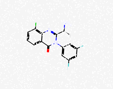 CC[C@H](N)c1nc2c(Cl)cccc2c(=O)n1-c1cc(F)cc(F)c1